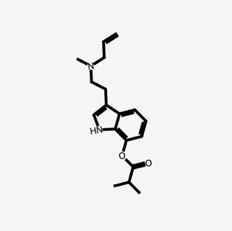 C=CCN(C)CCc1c[nH]c2c(OC(=O)C(C)C)cccc12